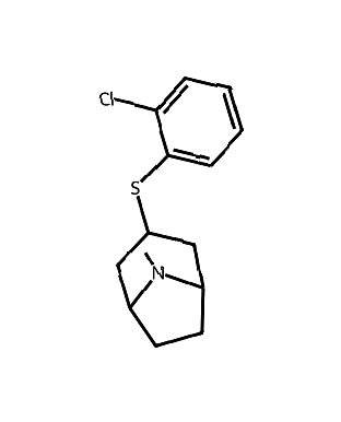 CN1C2CCC1CC(Sc1ccccc1Cl)C2